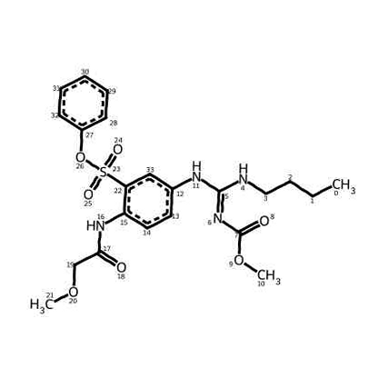 CCCCNC(=NC(=O)OC)Nc1ccc(NC(=O)COC)c(S(=O)(=O)Oc2ccccc2)c1